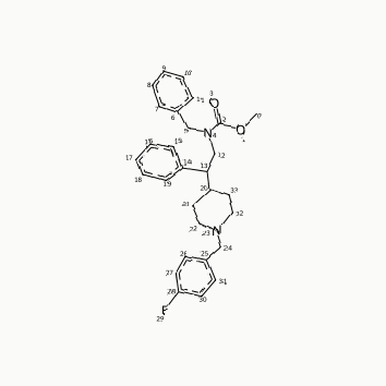 COC(=O)N(Cc1ccccc1)CC(c1ccccc1)C1CCN(Cc2ccc(F)cc2)CC1